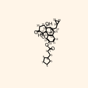 O=C(CCC1CCCC1)Oc1ccc2c3c1O[C@H]1C(=O)CC[C@@]4(O)C(C2)N(CC2CC2)CC[C@]314